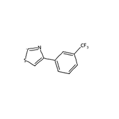 FC(F)(F)c1cccc(-c2cs[c]n2)c1